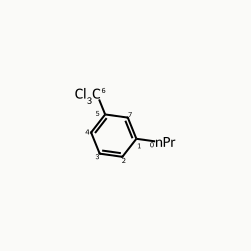 C[CH]Cc1cccc(C(Cl)(Cl)Cl)c1